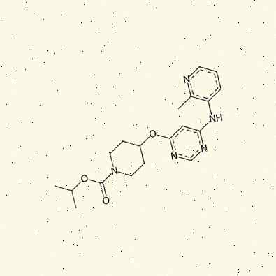 Cc1ncccc1Nc1cc(OC2CCN(C(=O)OC(C)C)CC2)ncn1